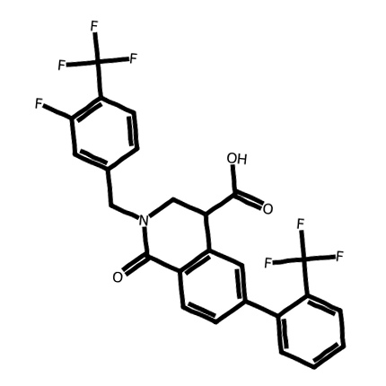 O=C(O)C1CN(Cc2ccc(C(F)(F)F)c(F)c2)C(=O)c2ccc(-c3ccccc3C(F)(F)F)cc21